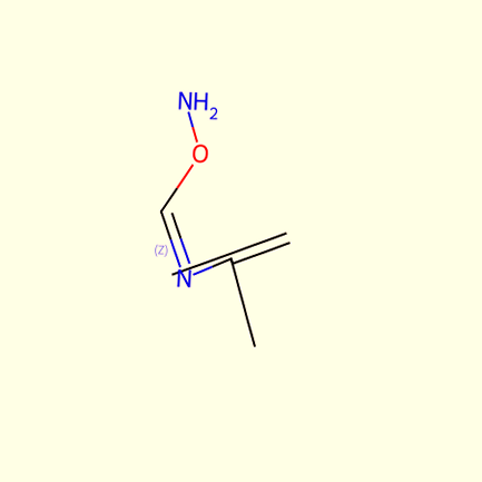 C=C(C)/N=C\ON